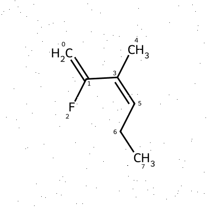 C=C(F)/C(C)=C\CC